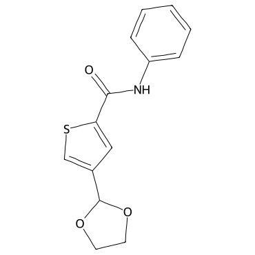 O=C(Nc1ccccc1)c1cc(C2OCCO2)cs1